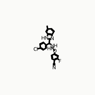 Cc1ccc2nc(C(NNOc3ccc(C#N)c(F)c3)c3ccc(Cl)cc3)[nH]c2c1